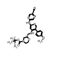 COc1ccc(-c2cnc(Nc3cnc(C#N)cn3)cc2NC[C@@H]2CN(C(=O)OC(C)(C)C)CCO2)cc1